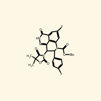 CC(C)(C)OC(=O)N1c2cc(F)cc3c(=O)[nH]nc(c23)C(N2C(=O)OC(C)(C)C2=O)C1c1ccc(F)cc1